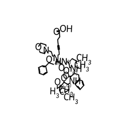 CC(C)C[C@H](NC(=O)[C@H](CCc1ccccc1)N(CC#CCCC(=O)O)C(=O)CN1CCOCC1)C(=O)N[C@@H](Cc1ccccc1)C(=O)N[C@@H](CC(C)C)C(=O)[C@]1(C)CO1